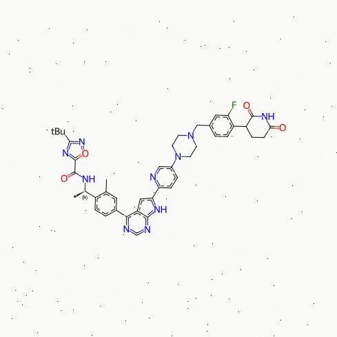 Cc1cc(-c2ncnc3[nH]c(-c4ccc(N5CCN(Cc6ccc(C7CCC(=O)NC7=O)c(F)c6)CC5)cn4)cc23)ccc1[C@@H](C)NC(=O)c1nc(C(C)(C)C)no1